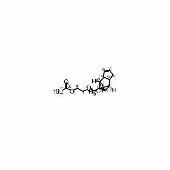 C[C@@H]1[C@@H]2C=C(COCCOC(=O)C(C)(C)C)[C@@H]1C1C=CCC12